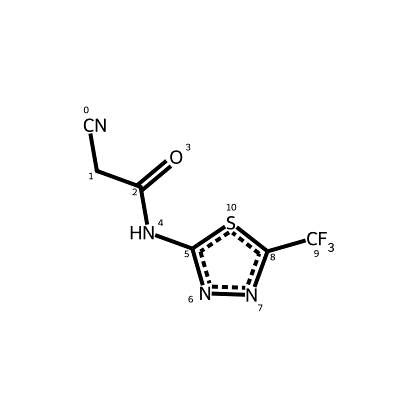 N#CCC(=O)Nc1nnc(C(F)(F)F)s1